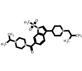 CC(C)CN1CCC(c2cn(S(C)(=O)=O)c3cc(C(=O)N4CCN(C(C)C)CC4)ccc23)CC1